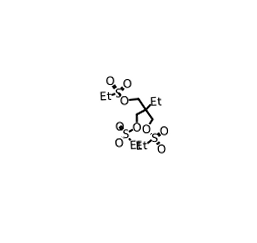 CCC(COS(=O)(=O)CC)(COS(=O)(=O)CC)COS(=O)(=O)CC